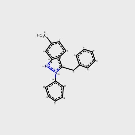 O=C(O)c1ccc2c(Cc3ccccc3)n(-c3ccccc3)nc2c1